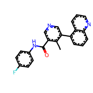 Cc1c(C(=O)Nc2ccc(F)cc2)cncc1-c1cccc2ncccc12